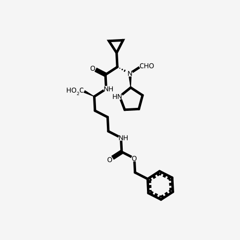 O=CN([C@H](C(=O)N[C@@H](CCCNC(=O)OCc1ccccc1)C(=O)O)C1CC1)[C@H]1CCCN1